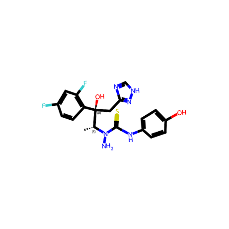 C[C@@H](N(N)C(=S)Nc1ccc(O)cc1)[C@@](O)(Cc1nc[nH]n1)c1ccc(F)cc1F